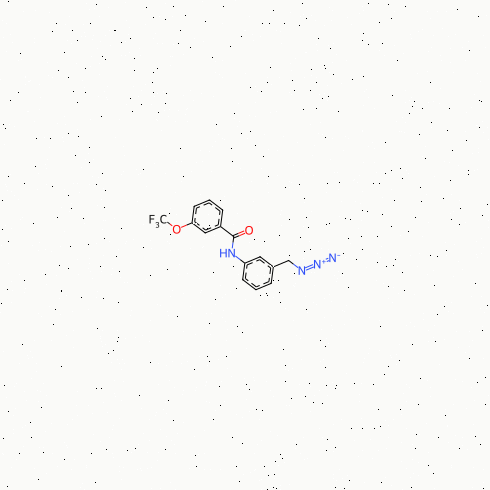 [N-]=[N+]=NCc1cccc(NC(=O)c2cccc(OC(F)(F)F)c2)c1